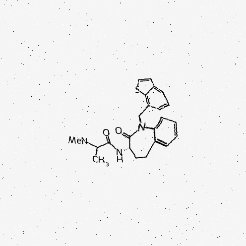 CNC(C)C(=O)N[C@H]1CCc2ccccc2N(Cc2cccc3ccsc23)C1=O